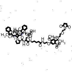 COc1cc(C(C)NCCOCCN2C(=O)C=CC2=O)c([N+](=O)[O-])cc1OCCNC(=O)CCCCNC(=O)C(CSOOO)NC(=O)[C@H]1CCCN1C1=C(/C=C2/N(C)c3ccccc3C2(C)C)C(=O)/C1=C\C1=[N+](C)c2ccccc2C1(C)C